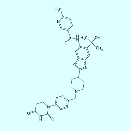 CC(C)(O)c1cc2nc(C3CCN(Cc4ccc(N5CCC(=O)NC5=O)cc4)CC3)oc2cc1NC(=O)c1ccc(C(F)(F)F)nc1